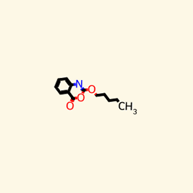 CCCCCOc1nc2ccccc2c(=O)o1